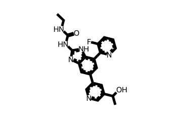 CCNC(=O)Nc1nc2cc(-c3cncc(C(C)O)c3)cc(-c3ncccc3F)c2[nH]1